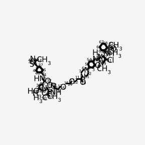 COc1cc(N2CCN(C(=O)CCOCCOCCC(=O)NC(C(=O)N3C[C@H](O)C[C@H]3C(=O)NCc3ccc(-c4scnc4C)cc3)C(C)(C)C)CC2)ccc1Nc1ncc(Cl)c(Nc2ccccc2P(C)(C)=O)n1